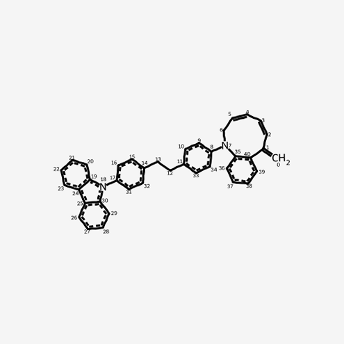 C=C1/C=C\C=C/CN(c2ccc(CCc3ccc(-n4c5ccccc5c5ccccc54)cc3)cc2)c2ccccc21